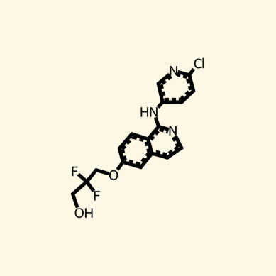 OCC(F)(F)COc1ccc2c(Nc3ccc(Cl)nc3)nccc2c1